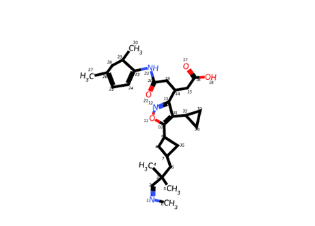 C/N=C\C(C)(C)CC1CC(c2onc(C(CC(=O)O)CC(=O)NC3=CC=C(C)CC3C)c2C2CC2)C1